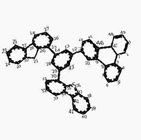 C1=CC2c3ccccc3-c3cc(-c4cc(-c5cccc6c5Cc5ccccc5-6)cc(-c5cccc6c5sc5ccccc56)c4)ccc3C2C=C1